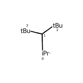 C[C](C)C(C(C)(C)C)C(C)(C)C